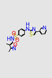 Cc1noc(NS(=O)(=O)c2ccc(Nc3nc(-c4cccnc4)cs3)cc2)c1C